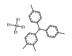 CC[N+](CC)(CC)CC.Cc1ccc(B(c2ccc(C)cc2)c2ccc(C)c(C)c2)cc1